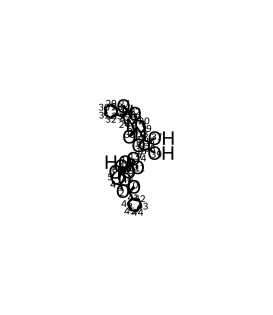 O=C(OC1CCOP(=O)(OP(=O)(O)OC[C@H]2O[C@@H](n3ccc(=O)n(Cc4noc5ccccc45)c3=O)C(O)C2O)O1)c1ccccc1